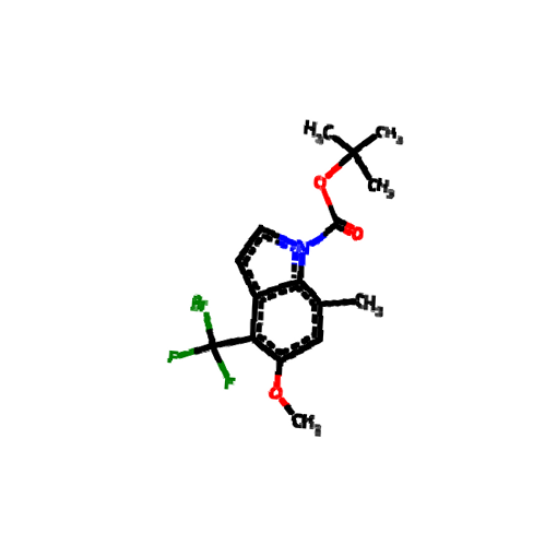 COc1cc(C)c2c(ccn2C(=O)OC(C)(C)C)c1C(F)(F)Br